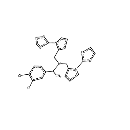 CC(c1ccc(Cl)c(Cl)c1)N(Cc1cccn1-c1nccs1)Cc1cccn1-c1nccs1